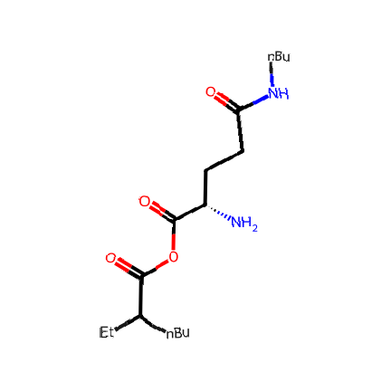 CCCCNC(=O)CC[C@H](N)C(=O)OC(=O)C(CC)CCCC